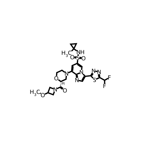 COC1CN(C(=O)[C@H]2CN(c3cc(S(=O)(=O)NC4(C)CC4)cn4c(-c5nnc(C(F)F)s5)cnc34)CCO2)C1